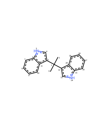 CC(C)(c1c[nH]c2ccccc12)c1c[nH]c2ccccc12